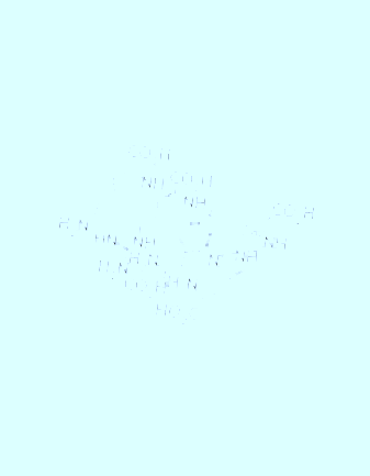 N=C(N)NCCCC(N)C(=O)O.NC(Cc1c[nH]cn1)C(=O)O.NC(Cc1ccccc1)C(=O)O.NCCCCC(N)C(=O)O.O=C(O)[C@@H]1CCCN1